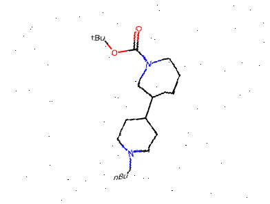 CCCCN1CCC(C2CCCN(C(=O)OC(C)(C)C)C2)CC1